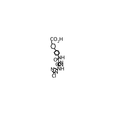 O=C(O)CC1CCC(c2ccc(NC(=O)c3nnc(Nc4cncc(Cl)n4)o3)cc2)CC1